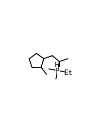 CC[PH](C)(C)C(C)CC1CCCC1C